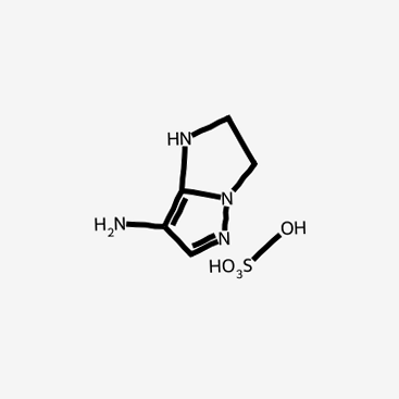 Nc1cnn2c1NCC2.O=S(=O)(O)O